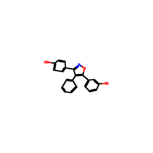 Oc1ccc(-c2noc(-c3cccc(O)c3)c2-c2ccccc2)cc1